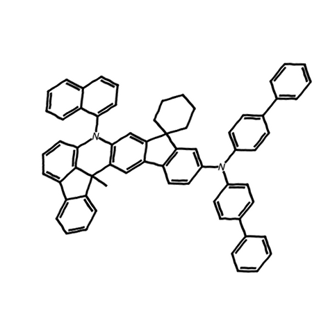 CC12c3ccccc3-c3cccc(c31)N(c1cccc3ccccc13)c1cc3c(cc12)-c1ccc(N(c2ccc(-c4ccccc4)cc2)c2ccc(-c4ccccc4)cc2)cc1C31CCCCC1